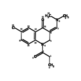 CCC(=O)N1C/C(=C/N(C)C)C(=O)c2cc(Cl)ccc21